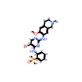 COc1cc2c(cc1Nc1ncc(Br)c(Nc3ccccc3P(C)(C)=O)n1)CN(C)CC2